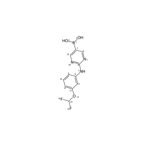 OB(O)c1cnc(Nc2cccc(OC(F)F)c2)nc1